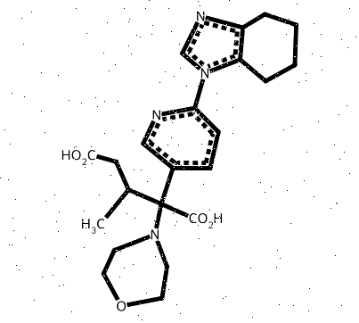 CC(CC(=O)O)C(C(=O)O)(c1ccc(-n2cnc3c2CCCC3)nc1)N1CCOCC1